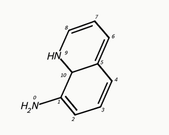 NC1=CC=CC2=CC=CNC12